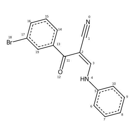 N#CC(=CNc1ccccc1)C(=O)c1cccc(Br)c1